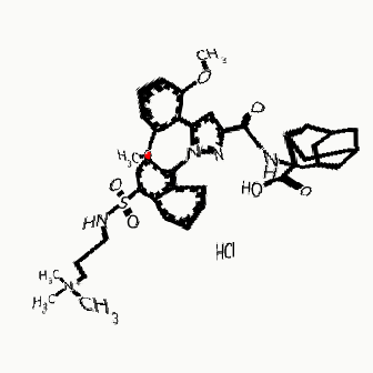 COc1cccc(OC)c1-c1cc(C(=O)NC2(C(=O)O)C3CC4CC(C3)CC2C4)nn1-c1ccc(S(=O)(=O)NCCC[N+](C)(C)C)c2ccccc12.Cl